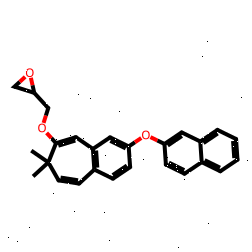 CC1(C)C=Cc2ccc(Oc3ccc4ccccc4c3)cc2C=C1OCC1CO1